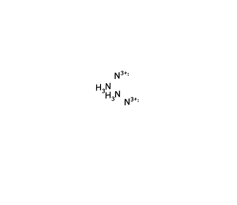 N.N.[N+3].[N+3]